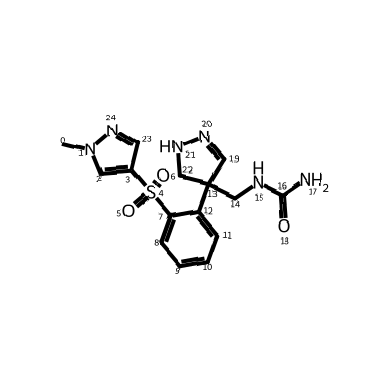 Cn1cc(S(=O)(=O)c2ccccc2C2(CNC(N)=O)C=NNC2)cn1